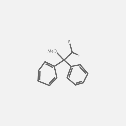 COC(c1ccccc1)(c1ccccc1)C(F)F